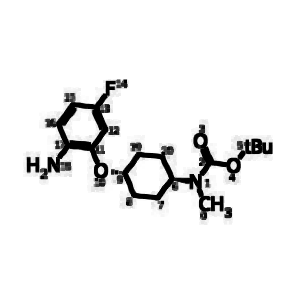 CN(C(=O)OC(C)(C)C)[C@H]1CC[C@H](Oc2cc(F)ccc2N)CC1